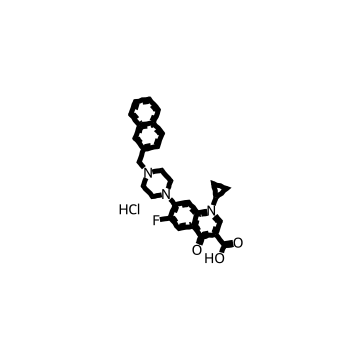 Cl.O=C(O)c1cn(C2CC2)c2cc(N3CCN(Cc4ccc5ccccc5c4)CC3)c(F)cc2c1=O